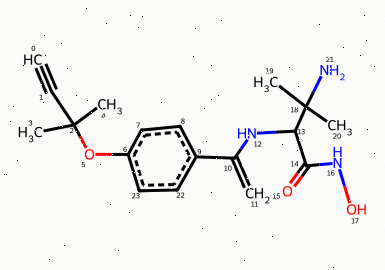 C#CC(C)(C)Oc1ccc(C(=C)NC(C(=O)NO)C(C)(C)N)cc1